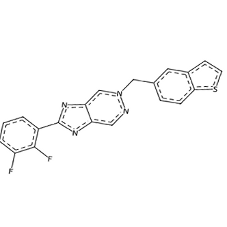 Fc1cccc(-c2nc3cnn(Cc4ccc5sccc5c4)cc-3n2)c1F